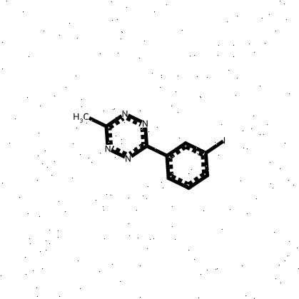 Cc1nnc(-c2cccc(I)c2)nn1